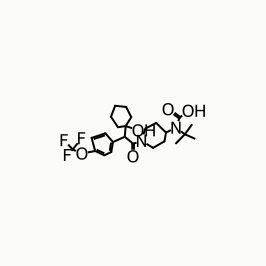 CC(C)(C)N(C(=O)O)C1CCN(C(=O)C(c2ccc(OC(F)(F)F)cc2)C2(O)CCCCC2)CC1